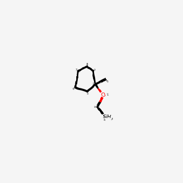 CC1(OC[SiH3])CCCCC1